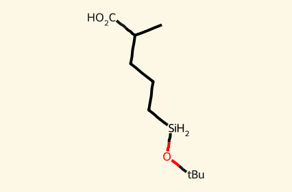 CC(CCC[SiH2]OC(C)(C)C)C(=O)O